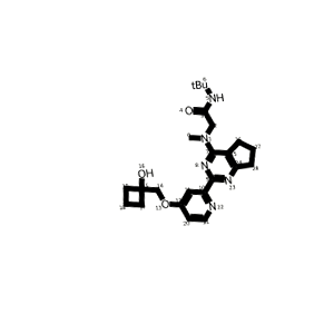 CN(CC(=O)NC(C)(C)C)c1nc(-c2cc(OCC3(O)CCC3)ccn2)nc2c1CCC2